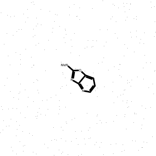 CNc1nc2ncccc2o1